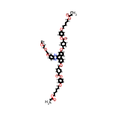 C=CC(=O)OCCCCCCOc1ccc(OC(=O)C2CCC(COc3ccc4c5ccc(OCC6CCC(C(=O)Oc7ccc(OCCCCCCOC(=O)C=C)cc7)CC6)cc5c5nc6cc(OCCOCCOCC)ccc6nc5c4c3)CC2)cc1